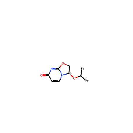 CCC(CC)O[C@@H]1COc2nc(=O)ccn21